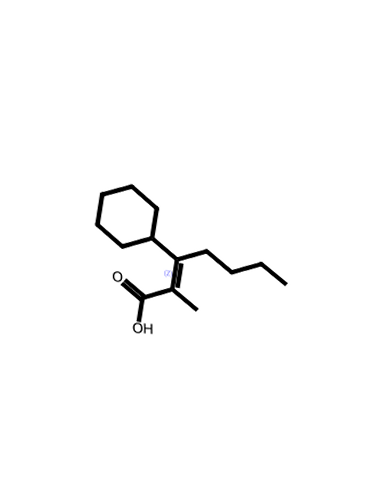 CCCC/C(=C(\C)C(=O)O)C1CCCCC1